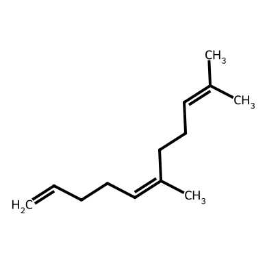 C=CCCC=C(C)CCC=C(C)C